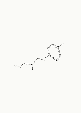 CNCC(O)CNc1ccc(Cl)cc1